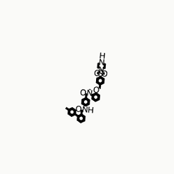 Cc1ccc(-c2ccccc2C(=O)Nc2ccc(C(=O)N(C)c3ccccc3OCc3ccc(S(=O)(=O)N4CCNCC4)cc3)cc2)cc1